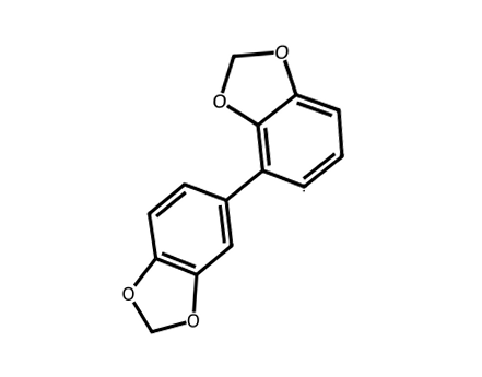 [c]1ccc2c(c1-c1ccc3c(c1)OCO3)OCO2